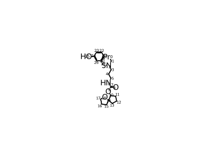 CC(C)CN(CCCNC(=O)OC1CCCC12CCCO2)Sc1cccc(O)c1